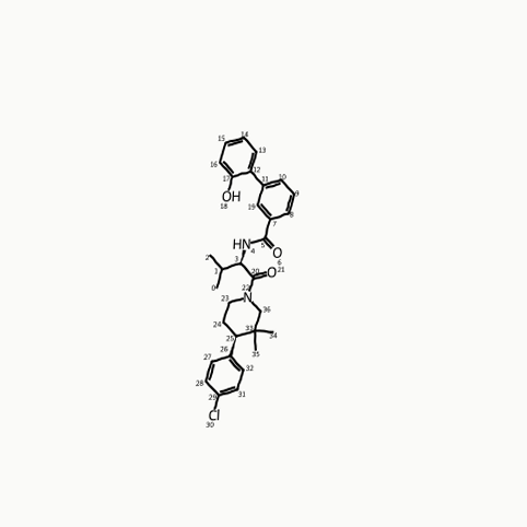 CC(C)[C@@H](NC(=O)c1cccc(-c2ccccc2O)c1)C(=O)N1CC[C@H](c2ccc(Cl)cc2)C(C)(C)C1